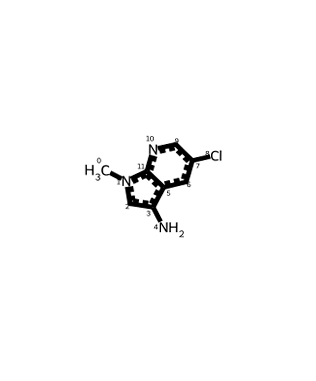 Cn1cc(N)c2cc(Cl)cnc21